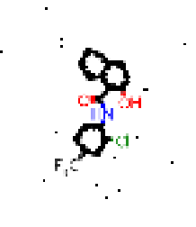 O=C(Nc1ccc(C(F)(F)F)cc1Cl)c1c(O)ccc2ccccc12